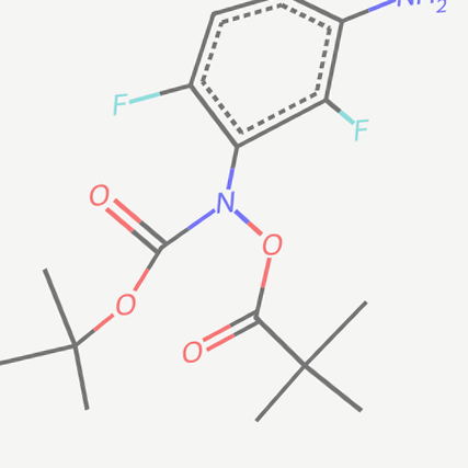 CC(C)(C)OC(=O)N(OC(=O)C(C)(C)C)c1c(F)ccc(N)c1F